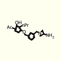 CCCc1c(OCc2cccc(CN3CC(N)C3)c2)ccc(C(C)=O)c1O